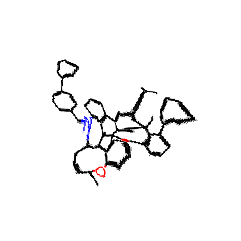 C=C(C/C=C\C1=C(C)CC(C)(C)C(=C)/C1=C\C(=C(C)C)C(C)(C)c1c(C)cccc1-c1ccccc1)N(CC1=CCC=C(c2ccccc2)C=C1)C1C/C=C\C(C)Oc2ccccc2C1C